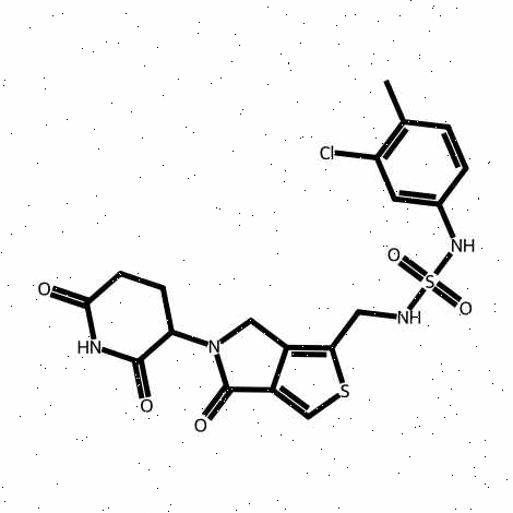 Cc1ccc(NS(=O)(=O)NCc2scc3c2CN(C2CCC(=O)NC2=O)C3=O)cc1Cl